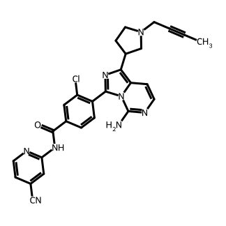 CC#CCN1CCC(c2nc(-c3ccc(C(=O)Nc4cc(C#N)ccn4)cc3Cl)n3c(N)nccc23)C1